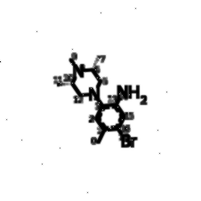 Cc1cc(N2C[C@@H](C)N(C)[C@@H](C)C2)c(N)cc1Br